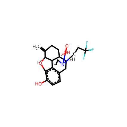 C=C1CC[C@@]2(O)[C@H]3Cc4ccc(O)c5c4[C@@]2(CC[N+]3([O-])CCC(F)(F)F)[C@H]1O5